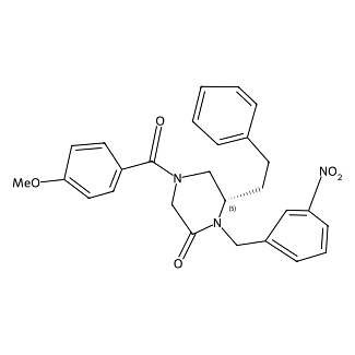 COc1ccc(C(=O)N2CC(=O)N(Cc3cccc([N+](=O)[O-])c3)[C@@H](CCc3ccccc3)C2)cc1